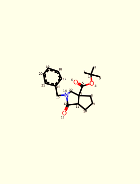 CC(C)(C)OC(=O)C12CCCC1C(=O)N(Cc1ccccc1)C2